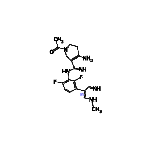 CN/C=C(\C=N)c1ccc(F)c(NC(=N)C2=C(N)CCN(C(C)=O)C2)c1F